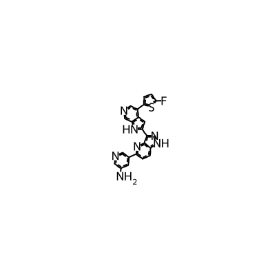 Nc1cncc(-c2ccc3[nH]nc(-c4cc5c(-c6ccc(F)s6)cncc5[nH]4)c3n2)c1